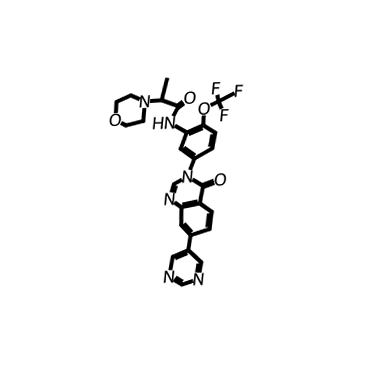 CC(C(=O)Nc1cc(-n2cnc3cc(-c4cncnc4)ccc3c2=O)ccc1OC(F)(F)F)N1CCOCC1